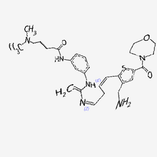 C=C(/N=C\C/C=C\c1sc(C(=O)N2CCOCC2)cc1CN)Nc1cccc(NC(=O)CCN(C)C)c1